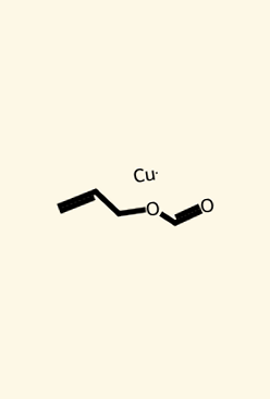 C=CCOC=O.[Cu]